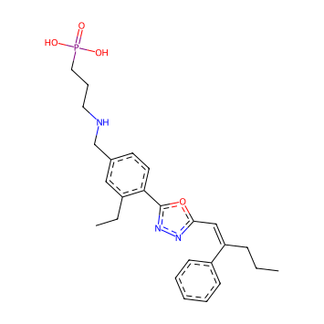 CCCC(=Cc1nnc(-c2ccc(CNCCCP(=O)(O)O)cc2CC)o1)c1ccccc1